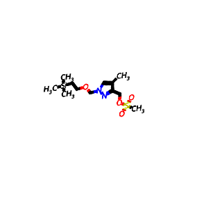 Cc1cn(COCC[Si](C)(C)C)nc1COS(C)(=O)=O